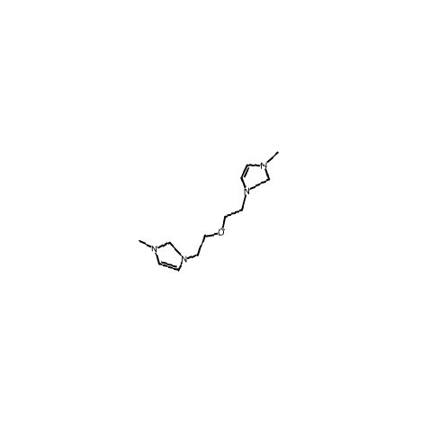 CN1C=CN(CCOCCN2C=CN(C)C2)C1